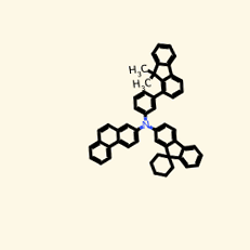 CC1(C)c2ccccc2-c2cccc(-c3cccc(N(c4ccc5c(c4)C4(CCCCC4)c4ccccc4-5)c4ccc5c(ccc6ccccc65)c4)c3)c21